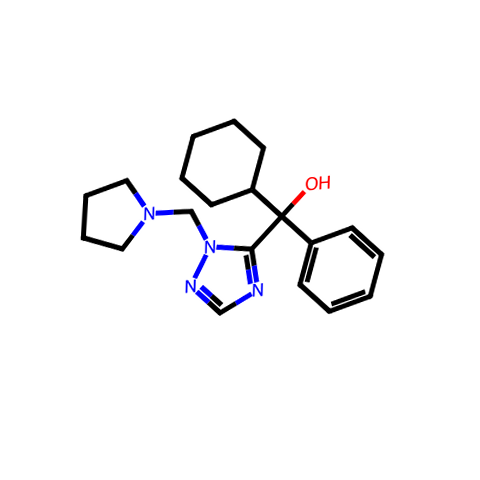 OC(c1ccccc1)(c1ncnn1CN1CCCC1)C1CCCCC1